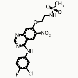 CS(=O)(=O)NCCOc1cc2ncnc(Nc3ccc(F)c(Cl)c3)c2cc1[N+](=O)[O-]